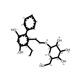 CCc1c(O)cc(O)c(-c2ccccc2)c1CCOC1OC(CO)C(O)C(O)C1O